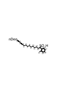 CCCCCCCCCCC#CC#CCCCCCCCCCC(c1ccccc1C)S(=O)(=O)O